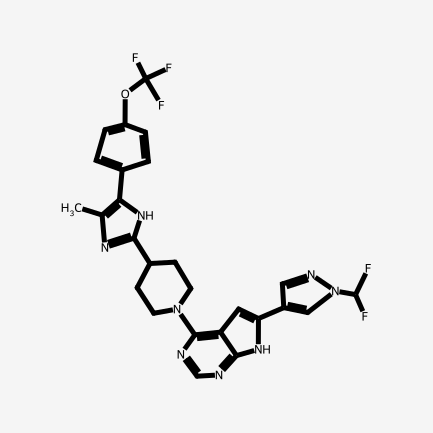 Cc1nc(C2CCN(c3ncnc4[nH]c(-c5cnn(C(F)F)c5)cc34)CC2)[nH]c1-c1ccc(OC(F)(F)F)cc1